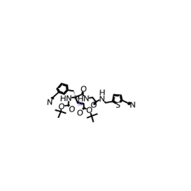 CC(C)(C)OC(=O)/C=C/[C@@](Cc1cccc(C#N)c1)(NC(=O)OC(C)(C)C)C(=O)NCC(=O)NCc1ccc(C#N)s1